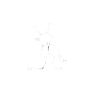 C#CC[N+]1([C@H]2C[C@H](O)[C@@H](CO)O2)C=C(C)C(=O)NC1=O